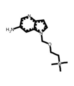 C[Si](C)(C)CCOCn1ccc2ncc(N)cc21